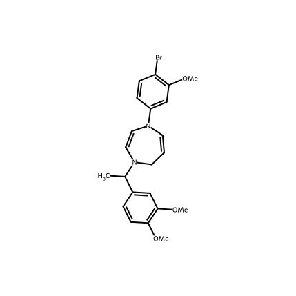 COc1cc(N2C=CCN(C(C)c3ccc(OC)c(OC)c3)C=C2)ccc1Br